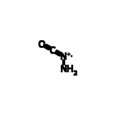 N[N+]=C=O